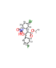 CCOC(=O)C(=C(O)c1ccc(F)cc1)c1cc(Br)ccc1[N+](=O)[O-]